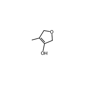 CC1=C(O)COC1